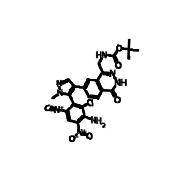 [C-]#[N+]c1cc([N+](=O)[O-])c(N)c(Cl)c1-c1c(-c2ccc3c(=O)[nH]nc(CNC(=O)OC(C)(C)C)c3c2)cnn1C